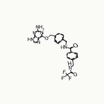 Nc1nc(OCc2ccc(CNC(=O)c3ccc(CNC(=O)C(F)(F)F)cc3)cc2)c2nc[nH]c2n1